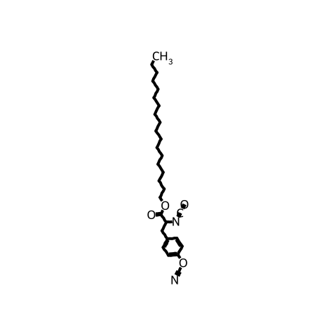 CCCCCCCCCCCCCCCCCCOC(=O)C(Cc1ccc(OC#N)cc1)N=C=O